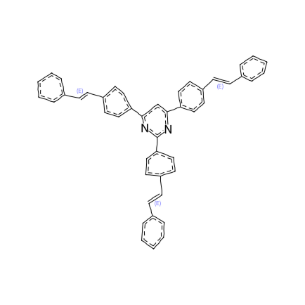 C(=C\c1ccc(-c2cc(-c3ccc(/C=C/c4ccccc4)cc3)nc(-c3ccc(/C=C/c4ccccc4)cc3)n2)cc1)/c1ccccc1